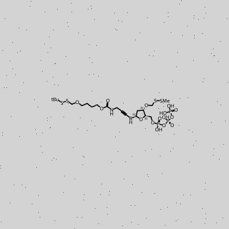 CSSCO[C@H]1C[C@H](BC#CCNC(=O)OCCCCOCSSC(C)(C)C)O[C@@H]1COP(=O)(O)OP(=O)(O)OP(=O)(O)O